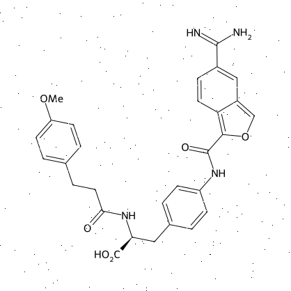 COc1ccc(CCC(=O)N[C@@H](Cc2ccc(NC(=O)c3occ4cc(C(=N)N)ccc34)cc2)C(=O)O)cc1